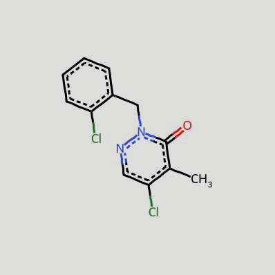 Cc1c(Cl)cnn(Cc2ccccc2Cl)c1=O